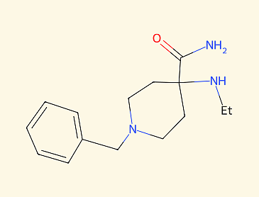 CCNC1(C(N)=O)CCN(Cc2ccccc2)CC1